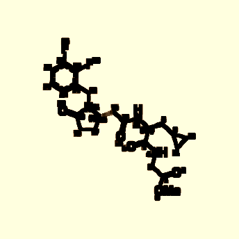 COC(=O)CNC(=O)[C@H](CC1CC1)NC(=O)C[C@@H]1CCC(=O)N1Cc1cccc(F)c1F